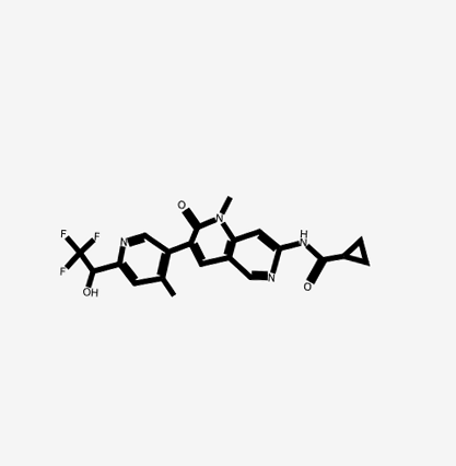 Cc1cc(C(O)C(F)(F)F)ncc1-c1cc2cnc(NC(=O)C3CC3)cc2n(C)c1=O